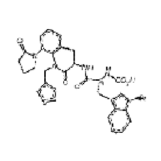 CC(C)n1cc(C[C@@H](NC(=O)O)C(=O)NC2Cc3cccc(N4CCCC4=O)c3N(Cc3ccsc3)C2=O)c2ccccc21